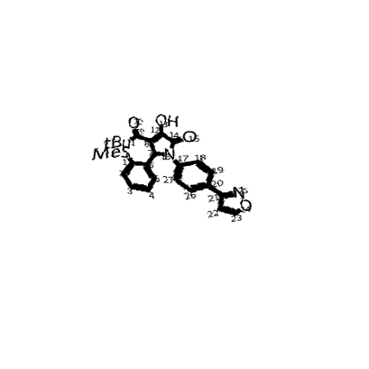 CSc1ccccc1C1C(C(=O)C(C)(C)C)=C(O)C(=O)N1c1ccc(-c2ccon2)cc1